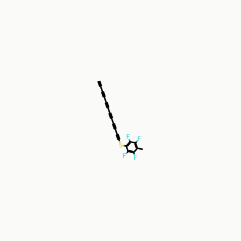 C#CC#CC#CC#CC#CC#CSc1c(F)c(F)c(C)c(F)c1F